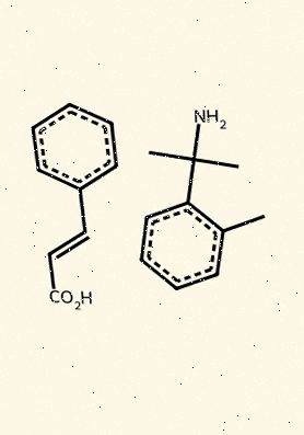 Cc1ccccc1C(C)(C)N.O=C(O)C=Cc1ccccc1